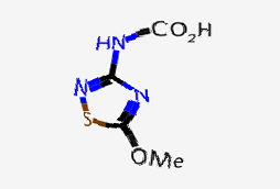 COc1nc(NC(=O)O)ns1